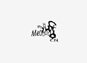 COC(=O)C(NC(=O)c1cc2c(n(Cc3ccc(C#N)cc3)c1=O)CCCCCC2)C(C)C